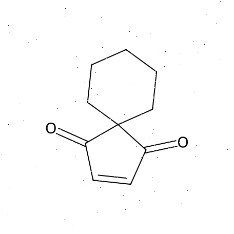 O=C1C=CC(=O)C12CCCCC2